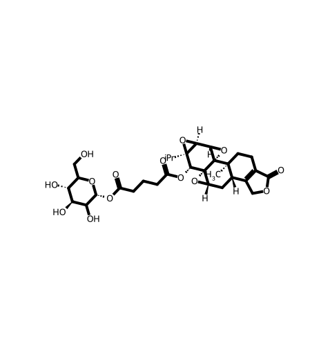 CC(C)[C@]12O[C@H]1[C@@H]1O[C@]13[C@]1(O[C@H]1C[C@H]1C4=C(CC[C@@]13C)C(=O)OC4)[C@@H]2OC(=O)CCCC(=O)O[C@H]1OC(CO)[C@@H](O)[C@H](O)C1O